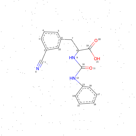 N#Cc1cccc(CC(NC(=O)Nc2ccccc2)C(=O)O)c1